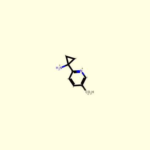 NC1(c2ccc(C(=O)O)cn2)CC1